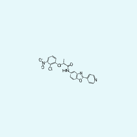 CC(Oc1cccc([N+](=O)[O-])c1Cl)C(=O)Nc1ccc2oc(-c3ccncc3)nc2c1